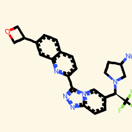 NC1CCN([C@H](c2ccc3nnc(-c4ccc5ccc(C6COC6)cc5n4)n3c2)C(F)(F)F)C1